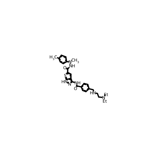 CCN(CC)CCNCc1ccc(C(=O)Nc2n[nH]c3sc(C(=O)NN(C)c4ccc(C)cc4)cc23)cc1